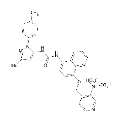 Cc1ccc(-n2nc(C(C)(C)C)cc2NC(=O)Nc2ccc(OCc3ccncc3N(C(=O)O)C(=O)O)c3ccccc23)cc1